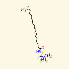 CCCCCCCCCCCCCCCCCC(=O)NSC(=S)N(C)C